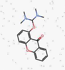 CN(C)C(Oc1cccc2oc3ccccc3c(=O)c12)N(C)C